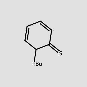 CCCCC1C=CC=[C]C1=S